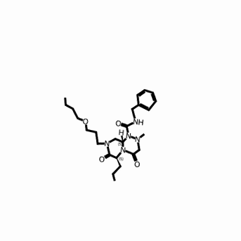 CCCCOCCCN1C[C@H]2N(C(=O)CN(C)N2C(=O)NCc2ccccc2)[C@@H](CCC)C1=O